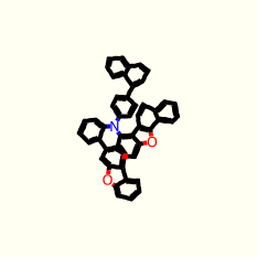 c1ccc(N(c2ccc(-c3cccc4ccccc34)cc2)c2cccc3oc4c5ccccc5ccc4c23)c(-c2ccc3c(c2)oc2ccccc23)c1